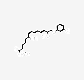 COC(=O)CCCCC(O)\C=C/C=C/C=C/C(O)COc1cccc(Cl)c1